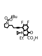 CCc1c(C(=O)O)c(=O)c2cc(F)c(F)c(C#CCCC3CCCN3C(=O)OC(C)(C)C)c2n1C1CC1